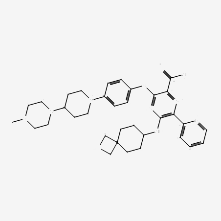 CN1CCN(C2CCN(c3ccc(Nc4nc(NC5CCC6(CC5)COC6)c(-c5ccccn5)nc4C(N)=O)cc3)CC2)CC1